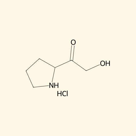 Cl.O=C(CO)C1CCCN1